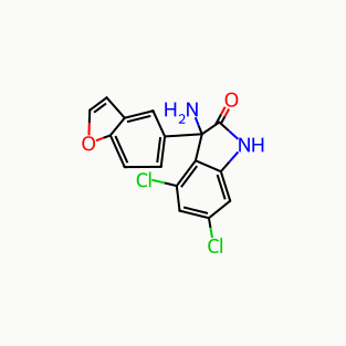 NC1(c2ccc3occc3c2)C(=O)Nc2cc(Cl)cc(Cl)c21